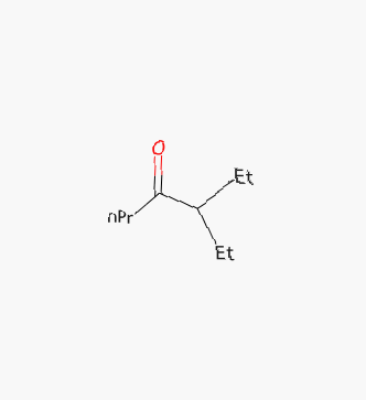 CCCC(=O)C(CC)CC